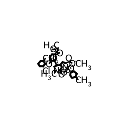 CCOC(=O)c1cc2c(-c3cc(S(=O)(=O)CC)ccc3Oc3c(C)cccc3Cl)cn(C)c(=O)c2n1S(=O)(=O)c1ccc(C)cc1